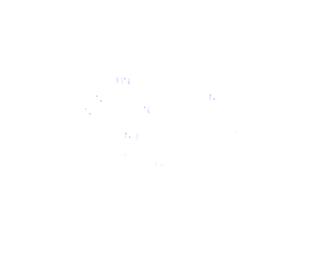 O=C(Nc1c[nH]nc1-c1nc2cc(CN3CCOCC3)ccc2[nH]1)c1occ2ccccc12